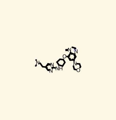 C=Nc1c(/N=C\C)cc(N2CCOCC2)cc1O[C@H]1CC[C@@H](Nc2ncc(CCN(C)C)cn2)CC1